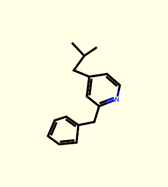 CC(C)Cc1ccnc(Cc2ccccc2)c1